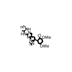 CCCNC(C)Nc1ncc2cc(-c3cc(OC)cc(OC)c3Cl)c3nncn3c2n1